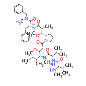 CCC(C)C(C(CC(=O)N1CCC[C@H]1C(OC)C(C)C(=O)NC(Cc1ccccc1)C(=O)N(C)Cc1ccccc1)OC)N(C)C(=O)C(NC(=O)C(NC)C(C)C)C(C)C